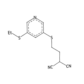 CCSc1cncc(SCCC(C#N)C#N)c1